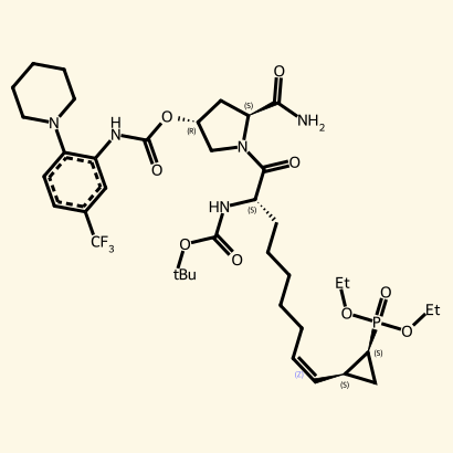 CCOP(=O)(OCC)[C@H]1C[C@H]1/C=C\CCCCC[C@H](NC(=O)OC(C)(C)C)C(=O)N1C[C@H](OC(=O)Nc2cc(C(F)(F)F)ccc2N2CCCCC2)C[C@H]1C(N)=O